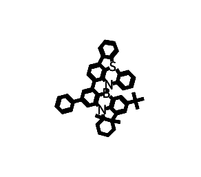 Cc1ccccc1N1B2c3cc(C(C)(C)C)cc4c3N(c3cc(-c5ccccc5)cc(c32)-c2ccc3c(sc5ccccc53)c21)C1(C)CCCCC41C